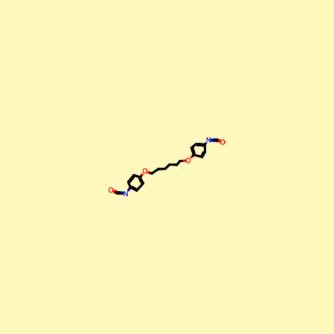 O=C=Nc1ccc(OCCCCCCOc2ccc(N=C=O)cc2)cc1